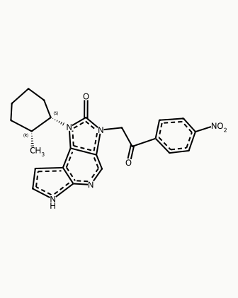 C[C@@H]1CCCC[C@@H]1n1c(=O)n(CC(=O)c2ccc([N+](=O)[O-])cc2)c2cnc3[nH]ccc3c21